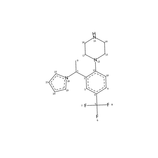 CC(c1cc(C(F)(F)F)ccc1N1CCNCC1)n1cccc1